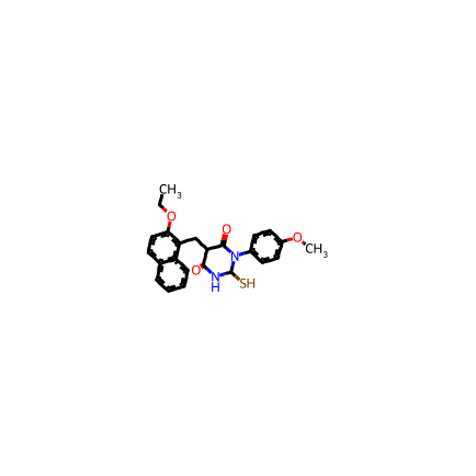 CCOc1ccc2ccccc2c1CC1C(=O)NC(S)N(c2ccc(OC)cc2)C1=O